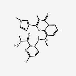 Cc1cc([C@@H](C)Nc2ccc(Cl)nc2C(=O)N(C)O)c2oc(-c3ccn(C)c3)c(C)c(=O)c2c1